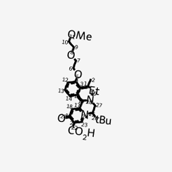 CC/C(C)=c1/c(OCCOCCOC)ccc/c1=C1\c2cc(=O)c(C(=O)O)cn2C(C(C)(C)C)CN1C